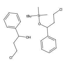 CC(C)(C)[Si](C)(C)OC(CCCl)c1ccccc1.OC(CCCl)c1ccccc1